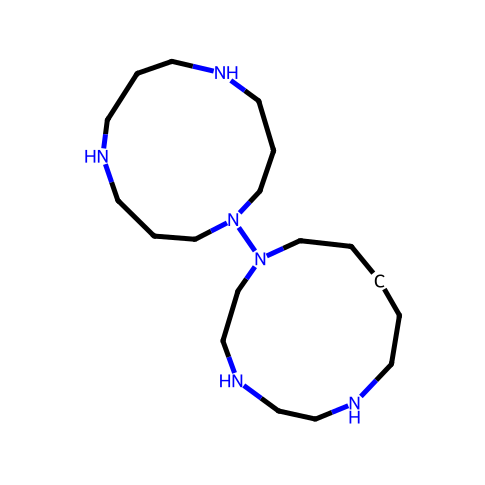 C1CCNCCNCCN(N2CCCNCCCNCCC2)CC1